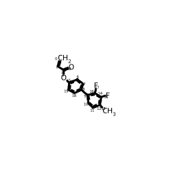 C=CC(=O)Oc1ccc(-c2ccc(C)c(F)c2F)cc1